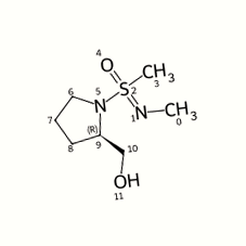 CN=S(C)(=O)N1CCC[C@@H]1CO